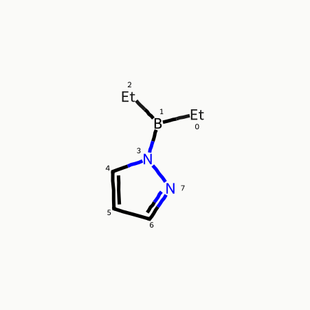 CCB(CC)n1cccn1